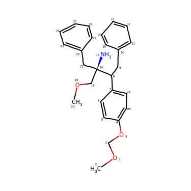 COCOc1ccc(C(Cc2ccccc2)[C@](N)(COC)Cc2ccccc2)cc1